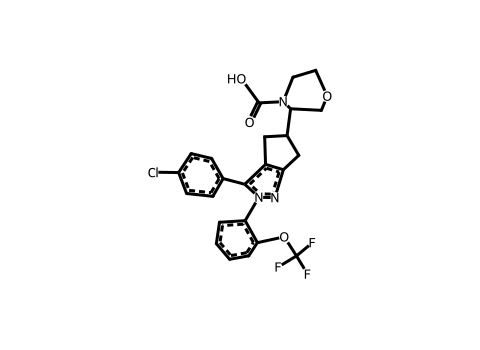 O=C(O)N1CCOCC1C1Cc2nn(-c3ccccc3OC(F)(F)F)c(-c3ccc(Cl)cc3)c2C1